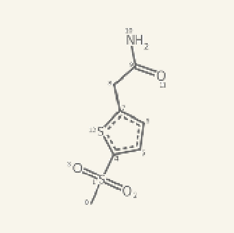 CS(=O)(=O)c1ccc(CC(N)=O)s1